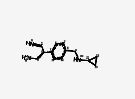 N=C/C(=C\N)c1ccc(CNC2CC2)cc1